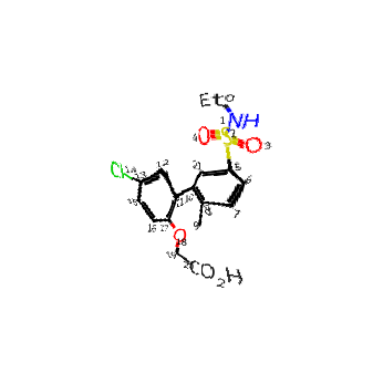 CCNS(=O)(=O)c1ccc(C)c(-c2cc(Cl)ccc2OCC(=O)O)c1